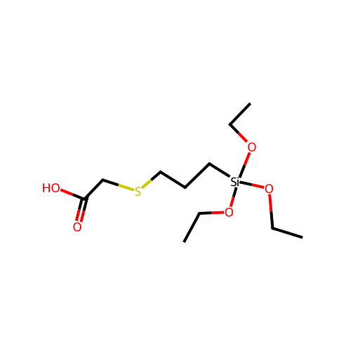 CCO[Si](CCCSCC(=O)O)(OCC)OCC